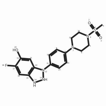 CS(=O)(=O)N1CCN(c2ccc(N3NNc4cc(F)c(O)cc43)cc2)CC1